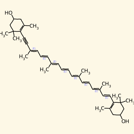 CC1=C(C#C/C(C)=C/C=C/C(C)=C/C=C/C=C(C)/C=C/C=C(C)/C=C/C2=C(C)CC(O)CC2(C)C)C(C)(C)CC(O)C1